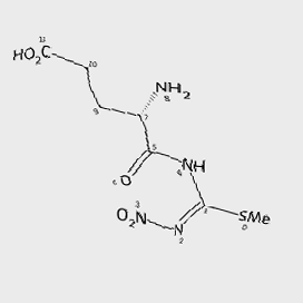 CSC(=N[N+](=O)[O-])NC(=O)[C@@H](N)CCC(=O)O